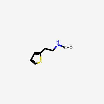 O=[C]NCCc1cccs1